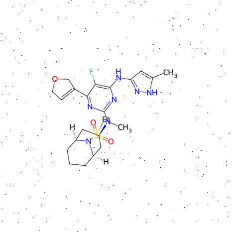 CCS(=O)(=O)N1[C@@H]2CCC[C@H]1C[C@@H](N(C)c1nc(Nc3cc(C)[nH]n3)c(F)c(C3=CCOC3)n1)C2